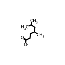 CC(C)CC(C)CCC([O])=O